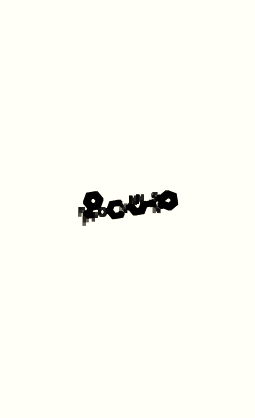 FC(F)(F)c1ccccc1OC1CCN(c2ccc(-c3nc4ccccc4s3)nn2)CC1